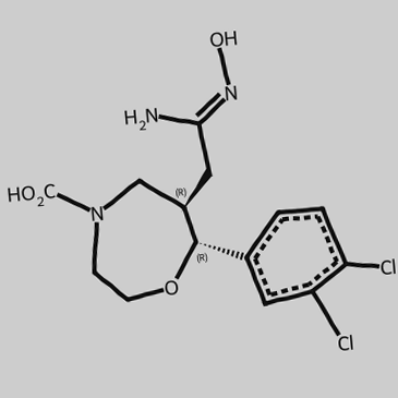 NC(C[C@@H]1CN(C(=O)O)CCO[C@H]1c1ccc(Cl)c(Cl)c1)=NO